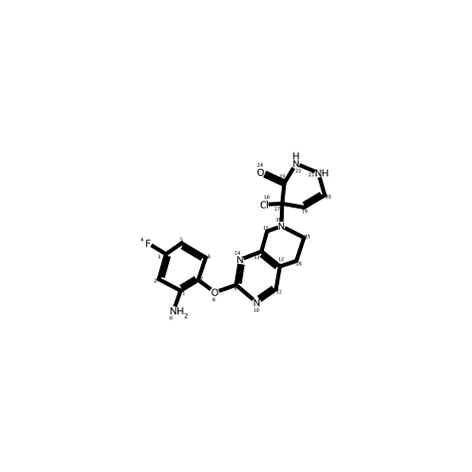 Nc1cc(F)ccc1Oc1ncc2c(n1)CN(C1(Cl)C=CNNC1=O)CC2